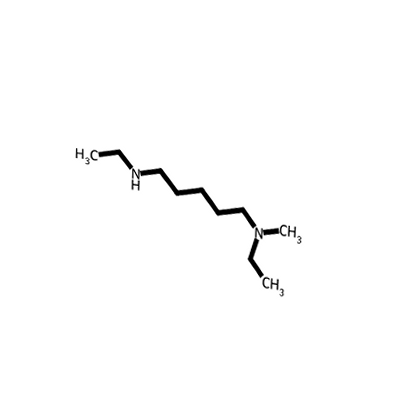 CCNCCCCCN(C)CC